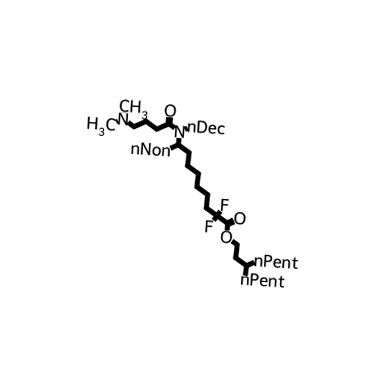 CCCCCCCCCCN(C(=O)CCCN(C)C)C(CCCCCCCCC)CCCCCCC(F)(F)C(=O)OCCC(CCCCC)CCCCC